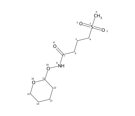 CS(=O)(=O)CCCC(=O)NOC1CCCCO1